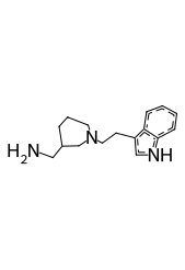 NCC1CCCN(CCc2c[nH]c3ccccc23)C1